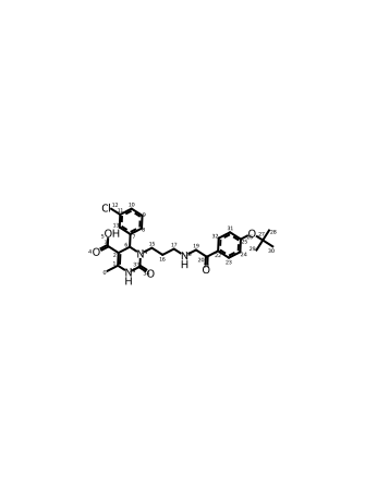 CC1=C(C(=O)O)C(c2cccc(Cl)c2)N(CCCNCC(=O)c2ccc(OC(C)(C)C)cc2)C(=O)N1